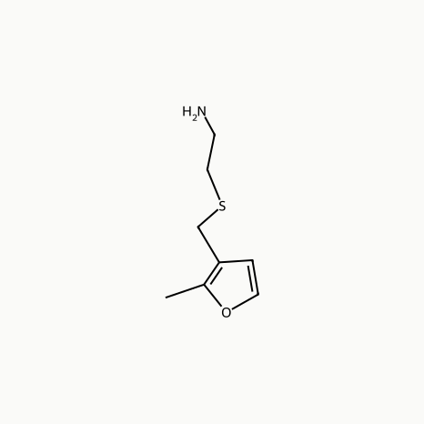 Cc1occc1CSCCN